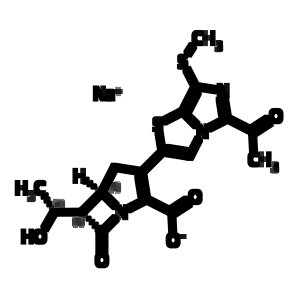 CSc1nc(C(C)=O)n2cc(C3=C(C(=O)[O-])N4C(=O)[C@H]([C@@H](C)O)[C@H]4C3)sc12.[Na+]